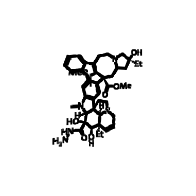 CC[C@]1(O)CC2C[C@](C(=O)OC)(c3cc4c(cc3OC)N(C)[C@H]3[C@@](O)(C(=O)NN)[C@H](O)[C@]5(CC)C=CCN6CC[C@]43[C@@H]65)c3[nH]c4ccccc4c3CCN2C1